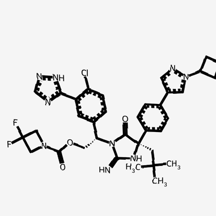 CC(C)(C)C[C@]1(c2ccc(-c3cnn(C4COC4)c3)cc2)NC(=N)N([C@H](COC(=O)N2CC(F)(F)C2)c2ccc(Cl)c(-c3ncn[nH]3)c2)C1=O